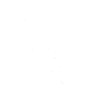 FC(F)(F)C(F)(F)C(F)(F)C(F)(F)C(F)(F)C(F)(F)c1cc[c]cn1